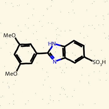 COc1cc(OC)cc(-c2nc3cc(S(=O)(=O)O)ccc3[nH]2)c1